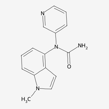 Cn1ccc2c(N(C(N)=O)c3cccnc3)cccc21